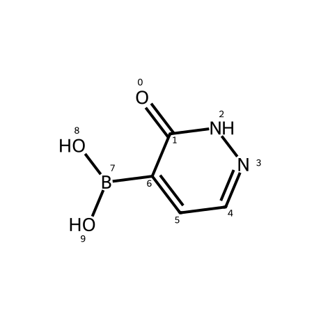 O=c1[nH]nccc1B(O)O